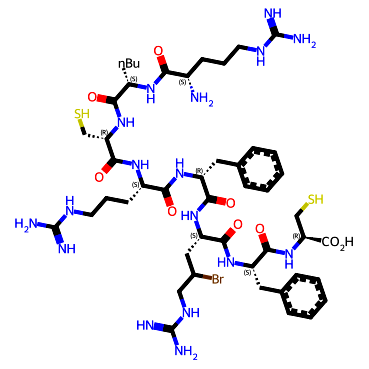 CCCC[C@H](NC(=O)[C@@H](N)CCCNC(=N)N)C(=O)N[C@@H](CS)C(=O)N[C@@H](CCCNC(=N)N)C(=O)N[C@H](Cc1ccccc1)C(=O)N[C@@H](CC(Br)CNC(=N)N)C(=O)N[C@@H](Cc1ccccc1)C(=O)N[C@@H](CS)C(=O)O